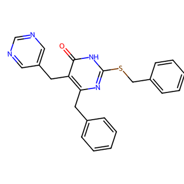 O=c1[nH]c(SCc2ccccc2)nc(Cc2ccccc2)c1Cc1cncnc1